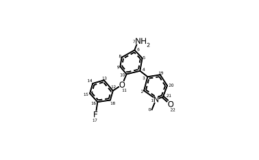 Cn1cc(-c2cc(N)ccc2Oc2cccc(F)c2)ccc1=O